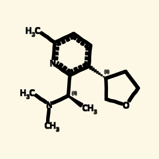 Cc1ccc([C@@H]2CCOC2)c([C@@H](C)N(C)C)n1